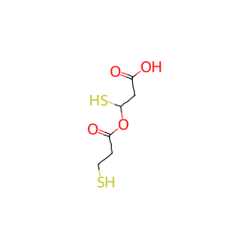 O=C(O)CC(S)OC(=O)CCS